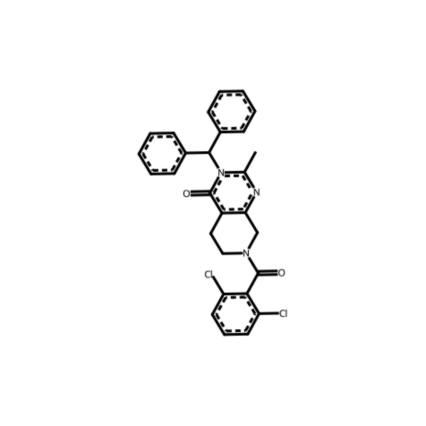 Cc1nc2c(c(=O)n1C(c1ccccc1)c1ccccc1)CCN(C(=O)c1c(Cl)cccc1Cl)C2